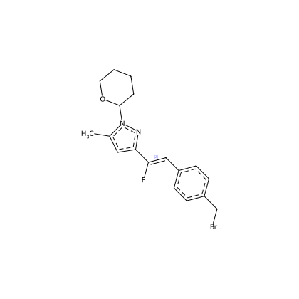 Cc1cc(/C(F)=C/c2ccc(CBr)cc2)nn1C1CCCCO1